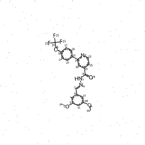 COc1cc(C=NNC(=O)c2ccnc(-c3ccc(OC(F)(F)F)cc3)c2)cc(OC)c1